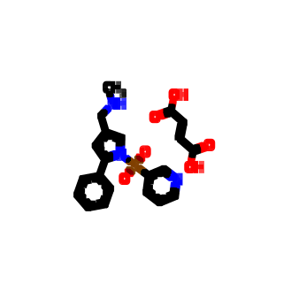 CNCc1cc(-c2ccccc2)n(S(=O)(=O)c2cccnc2)c1.O=C(O)/C=C/C(=O)O